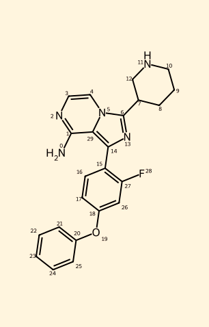 Nc1nccn2c(C3CCCNC3)nc(-c3ccc(Oc4ccccc4)cc3F)c12